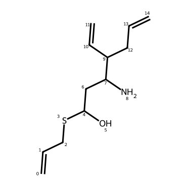 C=CCSC(O)CC(N)C(C=C)CC=C